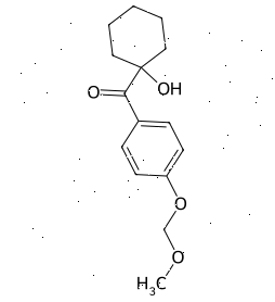 COCOc1ccc(C(=O)C2(O)CCCCC2)cc1